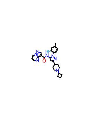 Cc1ccc(-n2nc(C3CCN(C4CCC4)CC3)cc2NC(=O)c2cnn3cccnc23)c(F)c1